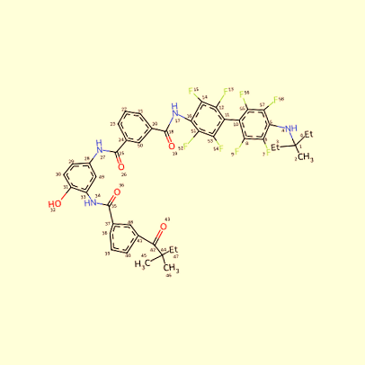 CCC(C)(CC)Nc1c(F)c(F)c(-c2c(F)c(F)c(NC(=O)c3cccc(C(=O)Nc4ccc(O)c(NC(=O)c5cccc(C(=O)C(C)(C)CC)c5)c4)c3)c(F)c2F)c(F)c1F